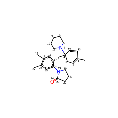 CC1=CCC(C)(N2CCCCC2)C=C1.Cc1ccc(N2CCCC2=O)cc1C